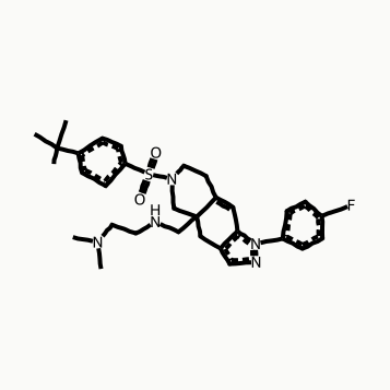 CN(C)CCNCC12Cc3cnn(-c4ccc(F)cc4)c3C=C1CCN(S(=O)(=O)c1ccc(C(C)(C)C)cc1)C2